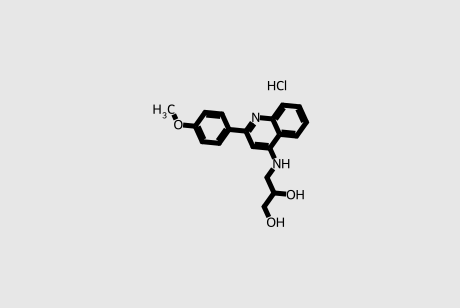 COc1ccc(-c2cc(NCC(O)CO)c3ccccc3n2)cc1.Cl